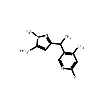 CCOC(=O)c1cc(C(C)c2cnc(Cl)cc2C)nn1C